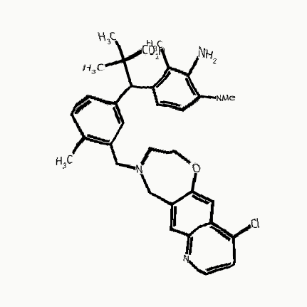 CNc1ccc(C(c2ccc(C)c(CN3CCOc4cc5c(Cl)ccnc5cc4C3)c2)C(C)(C)C(=O)O)c(C)c1N